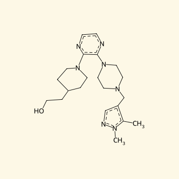 Cc1c(CN2CCN(c3nccnc3N3CCC(CCO)CC3)CC2)cnn1C